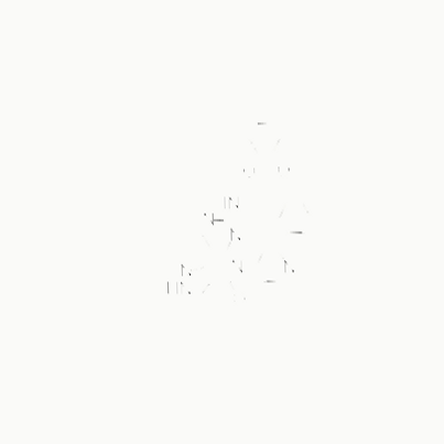 O=c1c2c[nH]nc2c2cnc(NC[C@H]3COc4ccccc4O3)nc2n1-c1ccnc(-c2ccccc2)c1